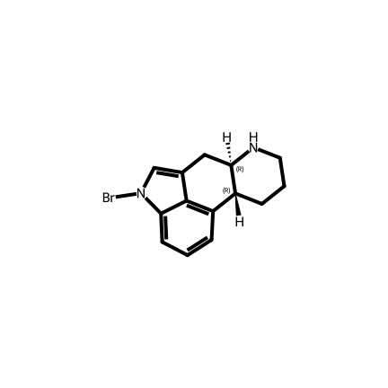 Brn1cc2c3c(cccc31)[C@H]1CCCN[C@@H]1C2